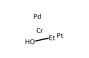 CCO.[Cr].[Pd].[Pt]